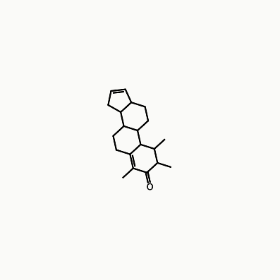 CC1=C2CCC3C4CC=CC4CCC3C2C(C)C(C)C1=O